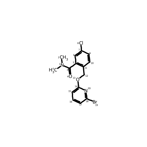 CN(C)C(=O)c1cc(Cl)ccc1COc1cccc(Br)n1